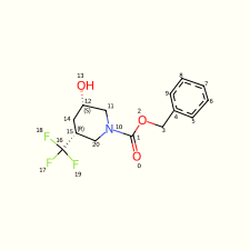 O=C(OCc1ccccc1)N1C[C@@H](O)C[C@@H](C(F)(F)F)C1